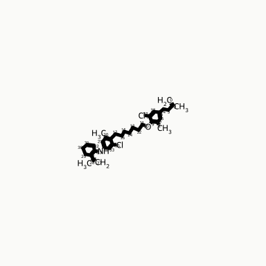 C=C(C)CCc1cc(C)c(OCCCCCCCc2c(C)cc(NC3=C(C(=C)C)CCC=C3)cc2Cl)c(Cl)c1